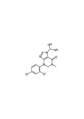 CCCC(CCC)n1cnc2c1C(=O)N(C)CN2c1ccc(Cl)cc1Cl